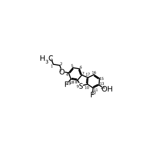 CCCOc1ccc2c(sc3c(F)c(O)ccc32)c1F